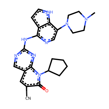 CN1CCN(c2cnc(Nc3ncc4cc(C#N)c(=O)n(C5CCCC5)c4n3)c3cc[nH]c23)CC1